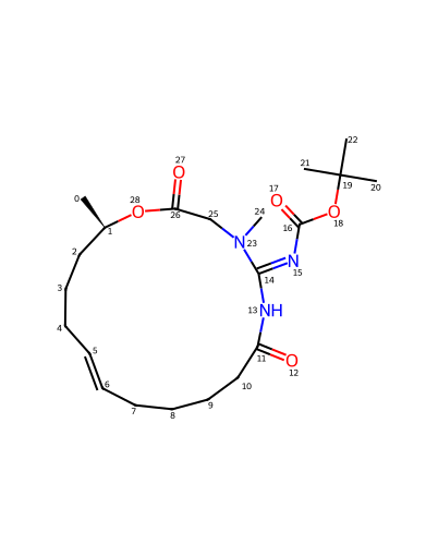 C[C@@H]1CCC/C=C/CCCCC(=O)N/C(=N/C(=O)OC(C)(C)C)N(C)CC(=O)O1